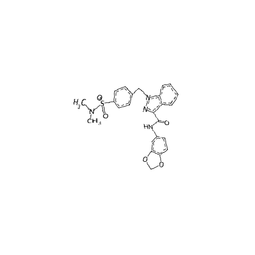 CN(C)S(=O)(=O)c1ccc(Cn2nc(C(=O)Nc3ccc4c(c3)OCO4)c3ccccc32)cc1